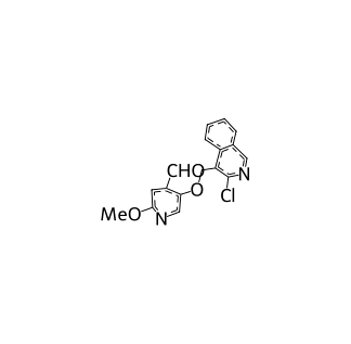 COc1cc(C=O)c(OCc2c(Cl)ncc3ccccc23)cn1